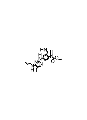 CCCNc1nc(Nc2ccc(NC(=O)OCC)c(C=N)c2)ncc1I